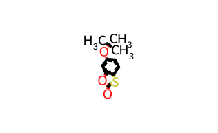 CC(C)(C)Oc1ccc2sc(=O)oc2c1